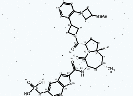 COC1CN(c2ccncc2C2CN(C(=O)[C@@H]3CC[C@@H]4C[C@H](C)C[C@H](NC(=O)c5cc6cc(CP(=O)(O)O)ccc6s5)C(=O)N43)C2)C1